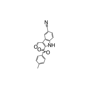 Cc1ccc(S(=O)(=O)c2[nH]c3ccc(C#N)cc3c2C=O)cc1